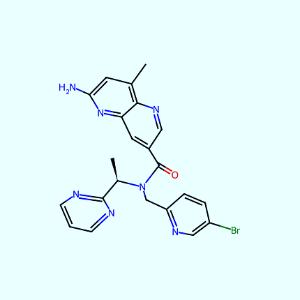 Cc1cc(N)nc2cc(C(=O)N(Cc3ccc(Br)cn3)[C@H](C)c3ncccn3)cnc12